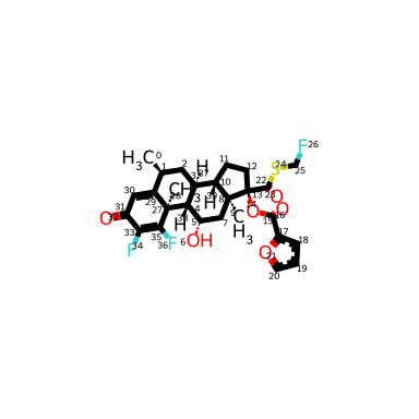 C[C@H]1C[C@@H]2[C@H]([C@@H](O)C[C@@]3(C)[C@H]2CC[C@]3(OC(=O)c2ccco2)C(=O)SCF)[C@]2(C)C1=CC(=O)C(F)=C2F